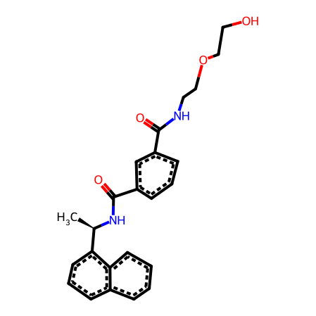 C[C@@H](NC(=O)c1cccc(C(=O)NCCOCCO)c1)c1cccc2ccccc12